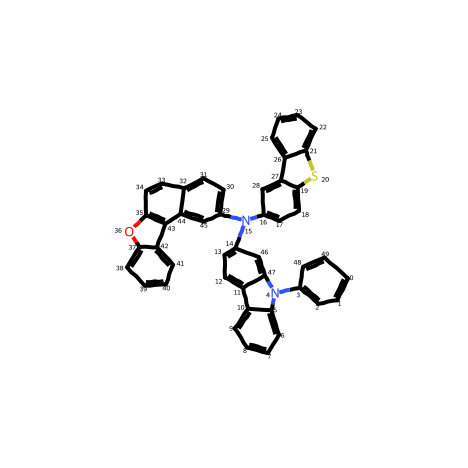 c1ccc(-n2c3ccccc3c3ccc(N(c4ccc5sc6ccccc6c5c4)c4ccc5ccc6oc7ccccc7c6c5c4)cc32)cc1